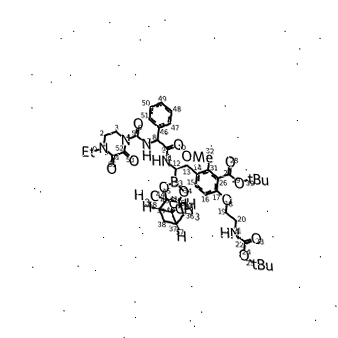 CCN1CCN(C(=O)NC(C(=O)N[C@@H](Cc2ccc(OCCNC(=O)OC(C)(C)C)c(C(=O)OC(C)(C)C)c2OC)B2O[C@@H]3C[C@@H]4C[C@@H](C4(C)C)[C@]3(C)O2)c2ccccc2)C(=O)C1=O